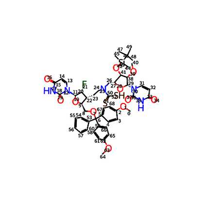 COc1ccc(C(OC[C@H]2O[C@@H](n3ccc(=O)[nH]c3=O)[C@H](F)[C@@H]2CCN(C[C@H]2O[C@@H](n3ccc(=O)[nH]c3=O)[C@H](OC)[C@@H]2O[Si](C)(C)C(C)(C)C)C(=S)S)(c2ccccc2)c2ccc(OC)cc2)cc1